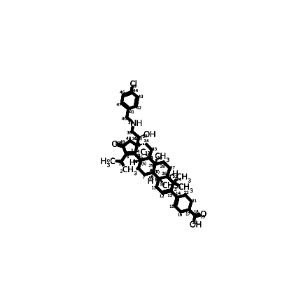 CC(C)C1=C2[C@H]3CC[C@@H]4[C@@]5(C)CC=C(C6=CCC(C(=O)O)CC6)C(C)(C)[C@@H]5CC[C@@]4(C)[C@]3(C)CC[C@@]2([C@@H](O)CNCc2ccc(Cl)cc2)CC1=O